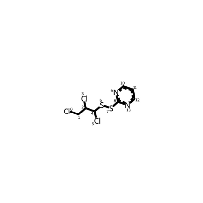 ClCC(Cl)C(Cl)SSc1ncccn1